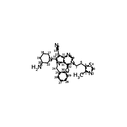 Cc1ncsc1CCn1cnc2c(C#N)c(N3CCCC(N)C3)n(Cc3ccccc3)c2c1=O